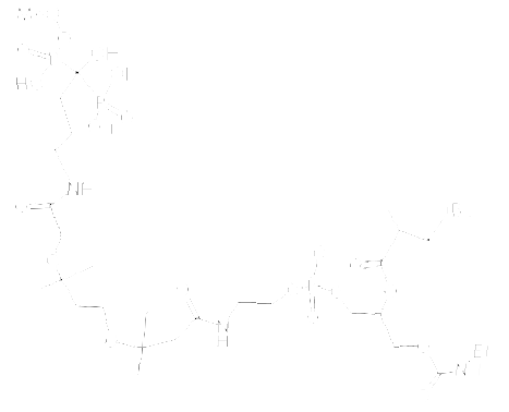 CCNC(=O)OCC(COP(=O)(O)OCCNC(=O)CC(C)(C)OCCC(C)(C)OCC(=O)NCCCC(O)(P(=O)(O)O)P(=O)(O)OOC)OC(=O)C(C)CC(C)(C)C